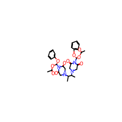 CC(=O)OC(Oc1ccccc1)N1C(=O)CN(C(C)C(C)N2CC(=O)N(C(OC(C)=O)Oc3ccccc3)C(=O)C2)CC1=O